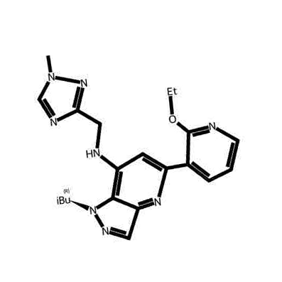 CCOc1ncccc1-c1cc(NCc2ncn(C)n2)c2c(cnn2[C@H](C)CC)n1